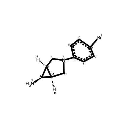 N[C@H]1[C@H]2CN(c3ccc(Br)cc3)C[C@@H]12